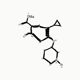 COC(=O)c1cc(C2CC2)c(OC2CCCN(C(C)=O)C2)cc1F